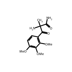 COc1ccc(C(=O)C(C)(N)C(N)=O)c(OC)c1OC